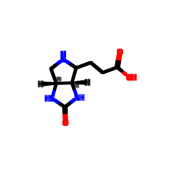 O=C(O)CCC1NC[C@H]2NC(=O)N[C@@H]12